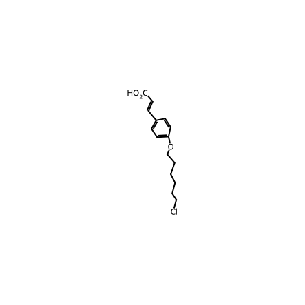 O=C(O)C=Cc1ccc(OCCCCCCCl)cc1